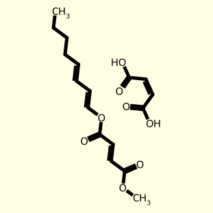 CCCCC=CC=COC(=O)/C=C/C(=O)OC.O=C(O)/C=C\C(=O)O